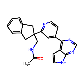 CC(=O)NCC1(c2cc(-c3ncnc4[nH]ccc34)ccn2)Cc2ccccc2C1